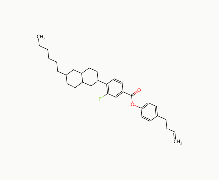 C=CCCc1ccc(OC(=O)c2ccc(C3CCC4CC(CCCCCC)CCC4C3)c(F)c2)cc1